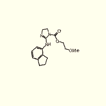 COCCOC(=O)N1CCN=C1Nc1cccc2c1CCC2